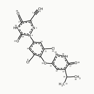 C#Cc1nn(-c2cc(Cl)c(Oc3cc(C(C)C)c(=O)[nH]n3)c(Cl)c2)c(=O)[nH]c1=O